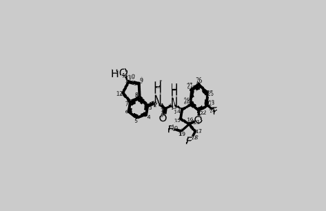 O=C(Nc1cccc2c1C[C@H](O)C2)N[C@@H]1CC(CF)(CF)Oc2c(F)cccc21